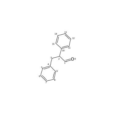 O=[C]C(Cc1ccccc1)c1ccccc1